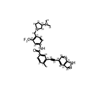 Cc1ccc(C(=O)Nc2ccc(CN3CCC(N(C)C)C3)c(C(F)(F)F)c2)cc1C#Cc1cnc2[nH]ncc2c1